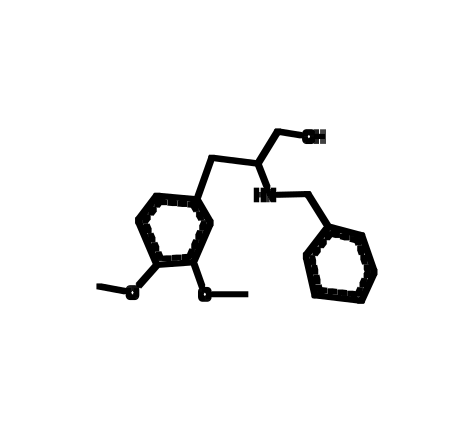 COc1ccc(CC(CO)NCc2ccccc2)cc1OC